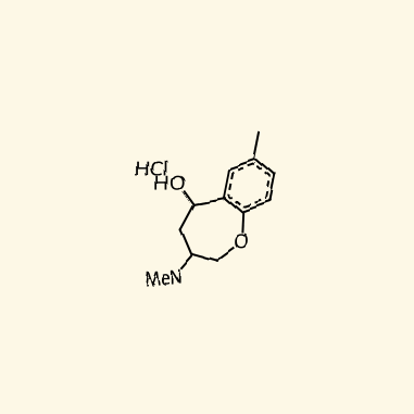 CNC1COc2ccc(C)cc2C(O)C1.Cl